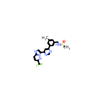 Cc1cc(CN[S+](C)[O-])cc(-c2cc(-c3cnc4ccc(C(F)F)nn34)ncn2)c1